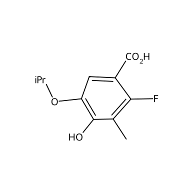 Cc1c(O)c(OC(C)C)cc(C(=O)O)c1F